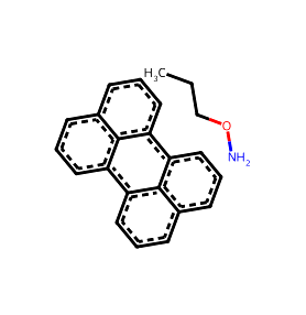 CCCON.c1cc2cccc3c4cccc5cccc(c(c1)c23)c54